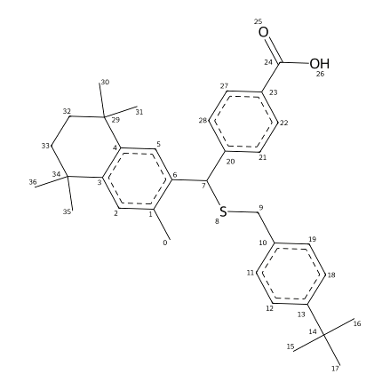 Cc1cc2c(cc1C(SCc1ccc(C(C)(C)C)cc1)c1ccc(C(=O)O)cc1)C(C)(C)CCC2(C)C